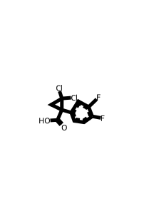 O=C(O)C1(c2ccc(F)c(F)c2)CC1(Cl)Cl